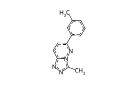 Cc1cccc(-c2ccc3nnc(C)n3n2)c1